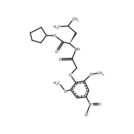 COc1cc([N+](=O)[O-])cc(OC)c1OCC(=O)N[C@H](CC(C)C)C(=O)OC1CCCC1